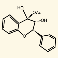 CC(=O)O[C@]1(O)c2ccccc2O[C@H](c2ccccc2)[C@H]1O